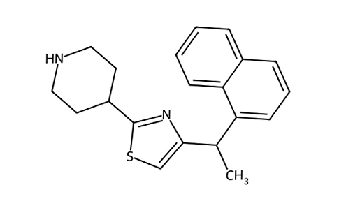 CC(c1csc(C2CCNCC2)n1)c1cccc2ccccc12